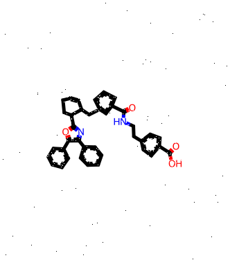 O=C(O)c1ccc(CCNC(=O)c2cccc(CC3C=CCCC3c3nc(-c4ccccc4)c(-c4ccccc4)o3)c2)cc1